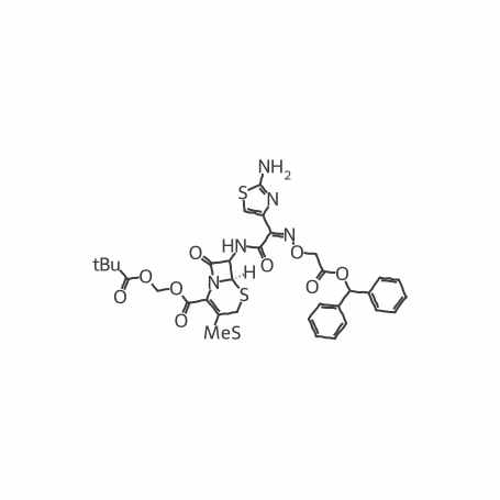 CSC1=C(C(=O)OCOC(=O)C(C)(C)C)N2C(=O)C(NC(=O)/C(=N\OCC(=O)OC(c3ccccc3)c3ccccc3)c3csc(N)n3)[C@H]2SC1